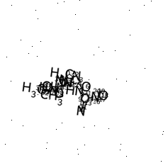 Cc1ncc(C(=O)Nc2cc(C#N)cc(N3CCOCC3)c2)cc1-n1cc(C(=O)NCC(C)(C)C)nn1